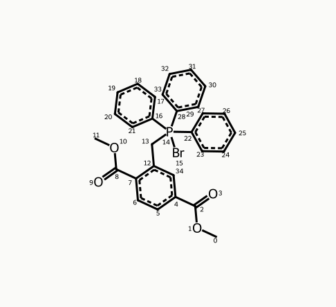 COC(=O)c1ccc(C(=O)OC)c(CP(Br)(c2ccccc2)(c2ccccc2)c2ccccc2)c1